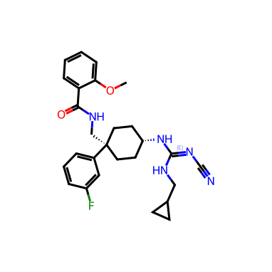 COc1ccccc1C(=O)NC[C@]1(c2cccc(F)c2)CC[C@H](N/C(=N/C#N)NCC2CC2)CC1